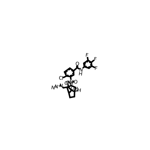 [N-]=[N+]=NCC(O)[C@@]1(O)C2CC[C@H]1C[C@H](S(=O)(=O)c1cc(C(=O)Nc3cc(F)c(F)c(F)c3)ccc1Cl)C2